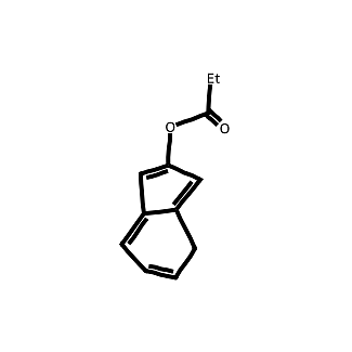 CCC(=O)OC1=CC2=CC=CCC2=C1